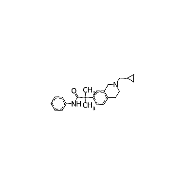 CC(C)(C(=O)Nc1ccccc1)c1ccc2c(c1)CN(CC1CC1)CC2